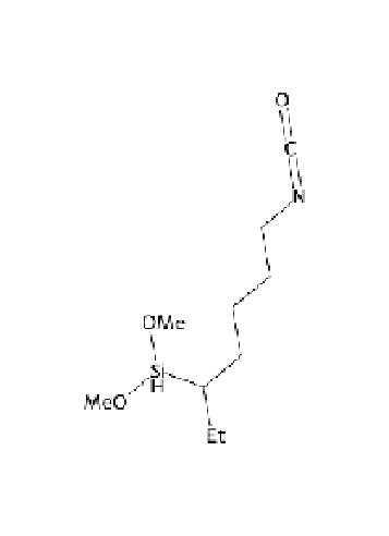 CCC(CCCCN=C=O)[SiH](OC)OC